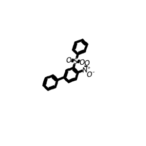 O=[N+]([O-])c1ccc(-c2ccccc2)cc1S(=O)(=O)c1ccccc1